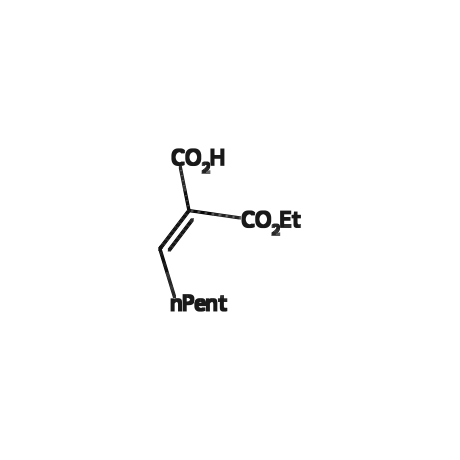 CCCCCC=C(C(=O)O)C(=O)OCC